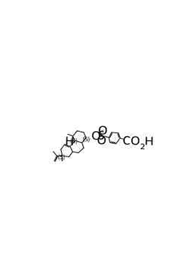 C=C(C)[C@]1(C)CC=C2C(CCC3[C@@H](COS(=O)(=O)c4ccc(C(=O)O)cc4)CCC(C)[C@H]23)C1